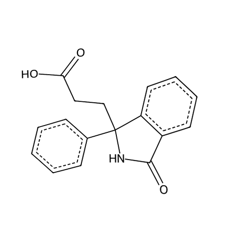 O=C(O)CCC1(c2ccccc2)NC(=O)c2ccccc21